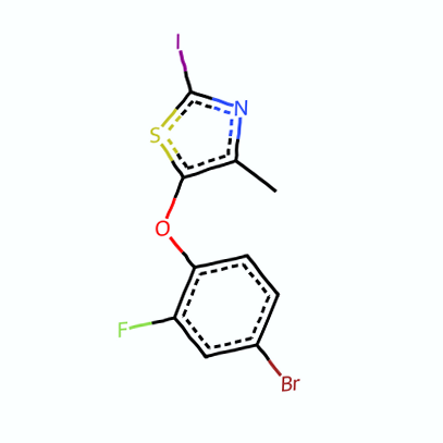 Cc1nc(I)sc1Oc1ccc(Br)cc1F